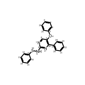 c1ccc(Oc2cnc(NSc3ccccc3)nc2-c2ccccc2)cc1